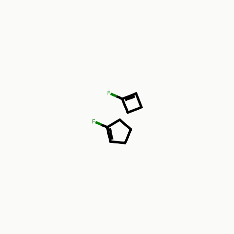 FC1=CCC1.FC1=CCCC1